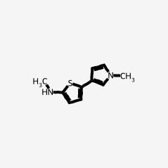 CNc1ccc(-c2ccn(C)c2)s1